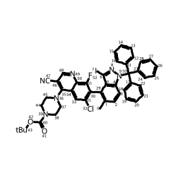 Cc1ccc2c(c(I)nn2C(c2ccccc2)(c2ccccc2)c2ccccc2)c1-c1c(Cl)cc2c(N3CCN(C(=O)OC(C)(C)C)CC3)c(C#N)cnc2c1F